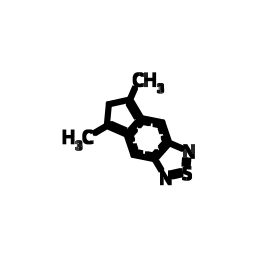 CC1=c2cc3c(cc2=C(C)C1)N=S=N3